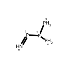 N=PP(P)P